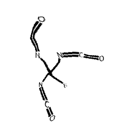 O=C=NC(F)(N=C=O)N=C=O